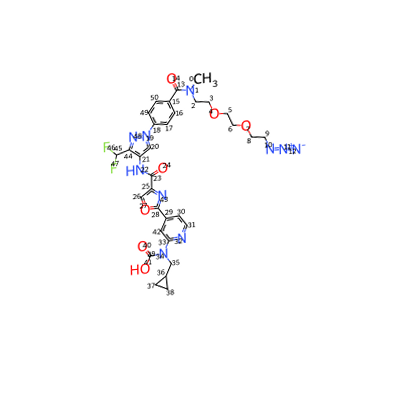 CN(CCOCCOCCN=[N+]=[N-])C(=O)c1ccc(-n2cc(NC(=O)c3coc(-c4ccnc(N(CC5CC5)C(=O)O)c4)n3)c(C(F)F)n2)cc1